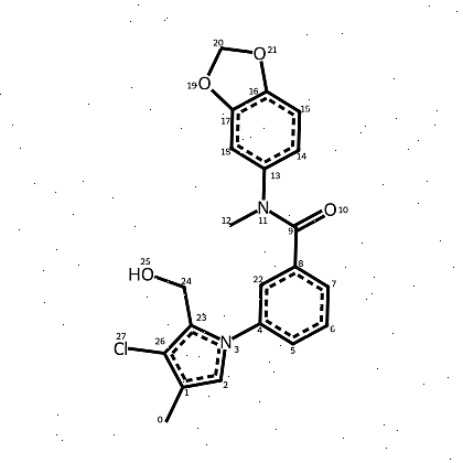 Cc1cn(-c2cccc(C(=O)N(C)c3ccc4c(c3)OCO4)c2)c(CO)c1Cl